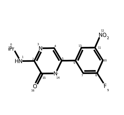 CC(C)NC1=NC=C(c2cc(F)cc([N+](=O)[O-])c2)[N]C1=O